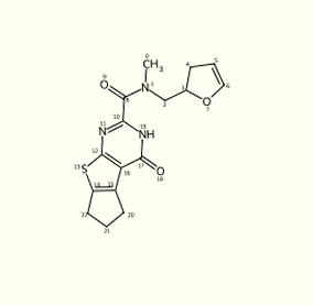 CN(CC1CC=CO1)C(=O)c1nc2sc3c(c2c(=O)[nH]1)CCC3